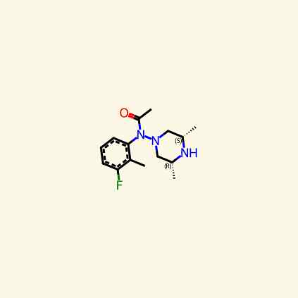 CC(=O)N(c1cccc(F)c1C)N1C[C@@H](C)N[C@@H](C)C1